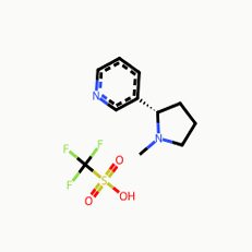 CN1CCC[C@H]1c1cccnc1.O=S(=O)(O)C(F)(F)F